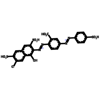 O=C(O)c1cc(/N=N/c2ccc(S(=O)(=O)O)cc2)ccc1/N=N/c1c(S(=O)(=O)O)cc2cc(S(=O)(=O)O)c(Cl)cc2c1O